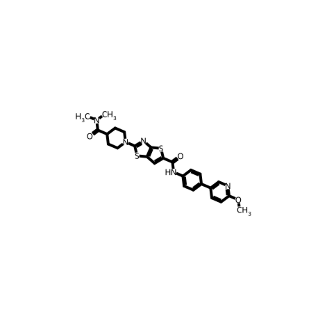 COc1ccc(-c2ccc(NC(=O)c3cc4sc(N5CCC(C(=O)N(C)C)CC5)nc4s3)cc2)cn1